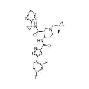 O=C(N[C@H]1CCN(CC2(F)CC2)C[C@@H]1C(=O)NC1(c2ncccn2)CC1)c1cc(-c2ccc(F)cc2F)on1